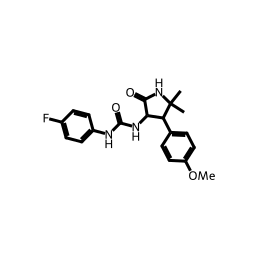 COc1ccc(C2C(NC(=O)Nc3ccc(F)cc3)C(=O)NC2(C)C)cc1